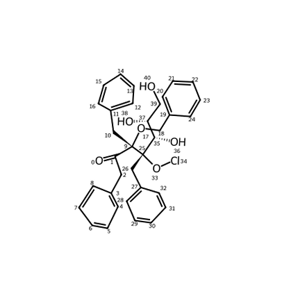 O=C(Cc1ccccc1)[C@](Cc1ccccc1)(OCc1ccccc1)[C@@](Cc1ccccc1)(OCl)[C@@H](O)[C@H](O)CO